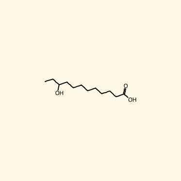 CCC(O)CCCCCCCCC(=O)O